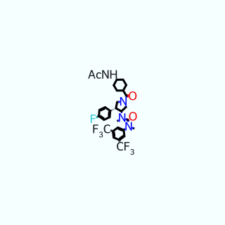 CC(=O)NC1CCC(C(=O)N2C[C@@H](N(C)C(=O)N(C)c3cc(C(F)(F)F)cc(C(F)(F)F)c3)[C@H](c3ccc(F)cc3)C2)CC1